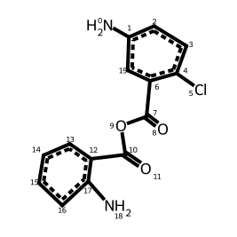 Nc1ccc(Cl)c(C(=O)OC(=O)c2ccccc2N)c1